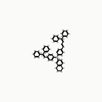 C(/C=C/c1ccc(N(c2ccc(C=C(c3ccccc3)c3ccccc3)cc2)c2ccc3c(c2)CCCC3)cc1)=C(c1ccccc1)c1ccccc1